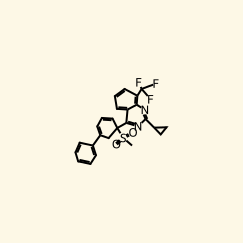 CS(=O)(=O)C1(c2nc(C3CC3)nc3c(C(F)(F)F)cccc23)C=CC=C(c2ccccc2)C1